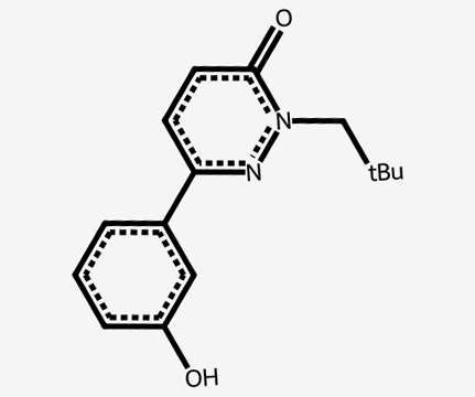 CC(C)(C)Cn1nc(-c2cccc(O)c2)ccc1=O